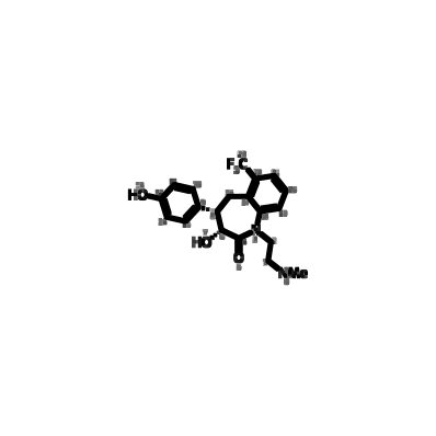 CNCCN1C(=O)[C@H](O)[C@H](c2ccc(O)cc2)Cc2c1cccc2C(F)(F)F